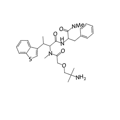 CNC(=O)C(Cc1ccccc1)NC(=O)C(C(C)c1csc2ccccc12)N(C)C(=O)COCC(C)(C)N